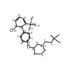 CC(C)(C)CCN1CCCC(Oc2ccc(C3C(C(F)(F)F)=C[C]=CC3Cl)cc2)C1